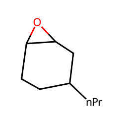 C[CH]CC1CCC2OC2C1